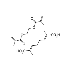 C=C(C)C(=O)OCCOC(=O)C(=C)C.CC(=CCCC=C(C)C(=O)O)C(=O)O